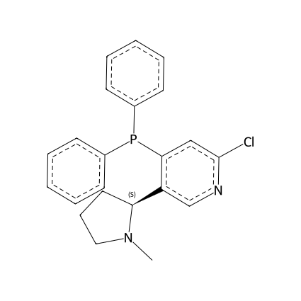 CN1CCC[C@H]1c1cnc(Cl)cc1P(c1ccccc1)c1ccccc1